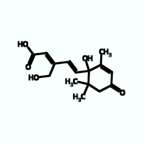 CC1=CC(=O)CC(C)(C)C1(O)C=CC(=CC(=O)O)CO